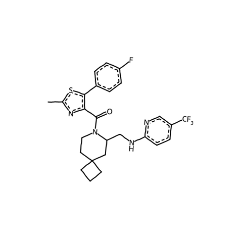 Cc1nc(C(=O)N2CCC3(CCC3)CC2CNc2ccc(C(F)(F)F)cn2)c(-c2ccc(F)cc2)s1